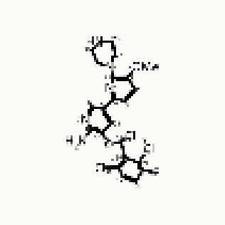 COc1ccc(-c2cnc(N)c(OC(C)c3c(Cl)ccc(F)c3Cl)c2)nc1N1CCNCC1